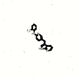 FC(F)(F)c1ccccc1Nc1ccc(Cc2c[nH]c3ncccc23)cn1